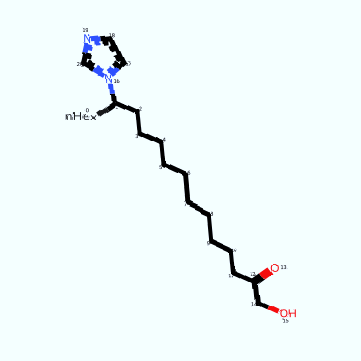 CCCCCCC(CCCCCCCCCCC(=O)CO)n1ccnc1